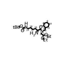 CCOC(CN(CC1CCCCC1)C(=O)[C@@H](N)CCCCNC(=O)OC(C)(C)C)OCC